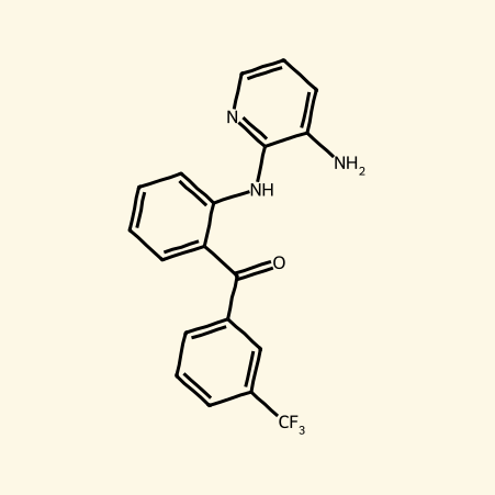 Nc1cccnc1Nc1ccccc1C(=O)c1cccc(C(F)(F)F)c1